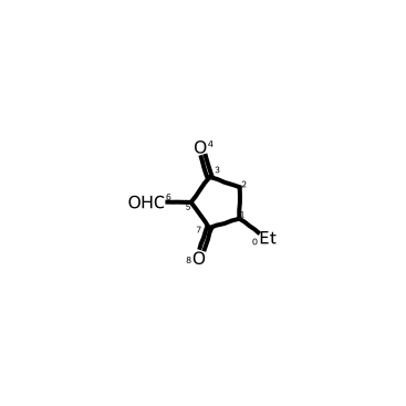 CCC1CC(=O)C(C=O)C1=O